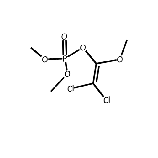 COC(OP(=O)(OC)OC)=C(Cl)Cl